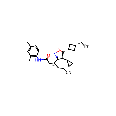 Cc1ccc(NC(=O)C[C@H](CCC#N)c2noc([C@H]3C[C@@H](CC(C)C)C3)c2C2CC2)c(C)c1